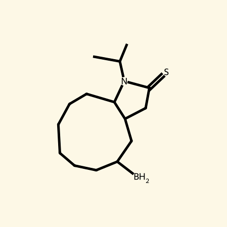 BC1CCCCCCC2C(CC(=S)N2C(C)C)C1